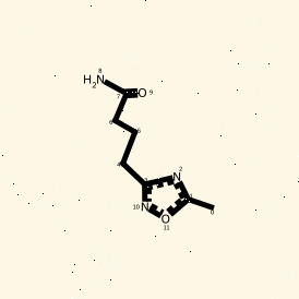 Cc1nc([CH]CCC(N)=O)no1